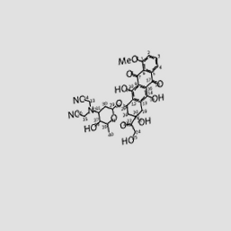 COc1cccc2c1C(=O)c1c(O)c3c(c(O)c1C2=O)C[C@@](O)(C(=O)CO)C[C@@H]3OC1CC(N(CC#N)CC#N)C(O)C(C)O1